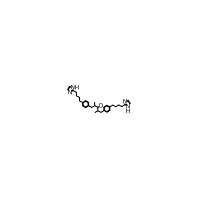 CC(Cc1ccc(CCCCc2ncc[nH]2)cc1)C(=O)C(C)Cc1ccc(CCCCc2ncc[nH]2)cc1